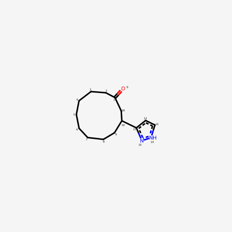 O=C1CCCCCCCCC(c2cc[nH]n2)C1